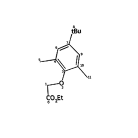 CCOC(=O)COc1c(C)cc(C(C)(C)C)cc1C